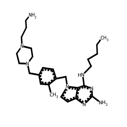 CCCCCNc1nc(N)nc2ccn(Cc3ccc(CN4CCN(CCCN)CC4)cc3C)c12